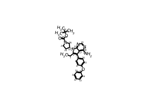 CCc1c(-c2ccc(Oc3ccccc3)cc2)c2c(N)ncnc2n1[C@@H]1CCN(C(=O)OC(C)(C)C)C1